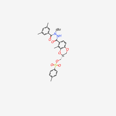 Cc1ccc(S(=O)(=O)OC[C@H]2COc3ccc(C(=O)NN(C(=O)c4cc(C)cc(C)c4)C(C)(C)C)c(C)c3O2)cc1